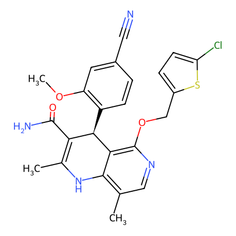 COc1cc(C#N)ccc1[C@@H]1C(C(N)=O)=C(C)Nc2c(C)cnc(OCc3ccc(Cl)s3)c21